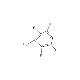 Fc1[c]c(F)c(F)c(P)c1F